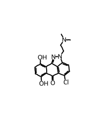 CN(C)CCn1nc2c3c(c(Cl)ccc31)C(=O)c1c(O)ccc(O)c1-2